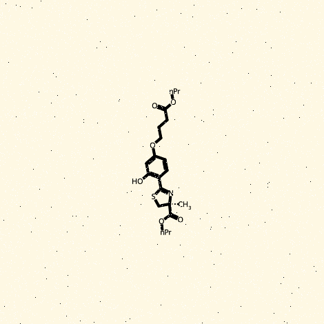 CCCOC(=O)CCCOc1ccc(C2=N[C@@](C)(C(=O)OCCC)CS2)c(O)c1